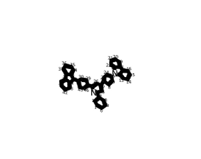 c1ccc(-c2cc(-c3ccc(-n4c5ccccc5c5ccccc54)cc3)cc(-c3ccc(C4c5ccccc5-c5ccccc54)cc3)n2)cc1